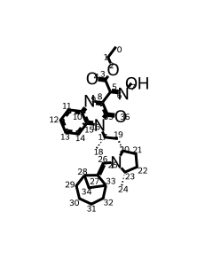 CCOC(=O)/C(=N\O)c1nc2ccccc2n([C@@H](C)C[C@@H]2CC[C@H](C)N2C=C2C3CCCCC2C3)c1=O